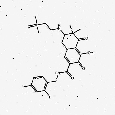 CC1(C)C(=O)c2c(O)c(=O)c(C(=O)NCc3ccc(F)cc3F)cn2CC1NCCP(C)(C)=O